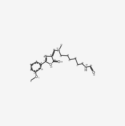 COc1cccc(C2=NC(=CN(C)CCCCCCNC=O)C(=O)O2)c1